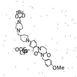 COc1ccc(CN2C(=O)CCN(c3ccc(N4CCC(CN5CCN(C(=O)OC(C)(C)C)CC5)CC4)cc3C)C2=O)cc1.O=C([O-])[O-].[Cs+].[Cs+]